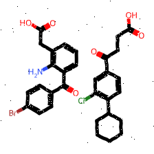 Nc1c(CC(=O)O)cccc1C(=O)c1ccc(Br)cc1.O=C(O)CCC(=O)c1ccc(C2CCCCC2)c(Cl)c1